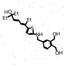 CCC(=CC=CC(O)(CC)CC)c1ccc(NCc2ccc(CO)c(CO)c2)s1